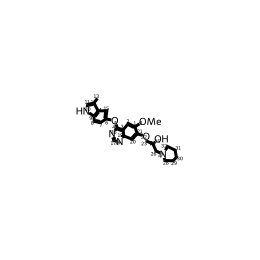 COc1cc2c(Oc3ccc4[nH]cc(C)c4c3)ncnc2cc1OC[C@H](O)CN1CCCCC1